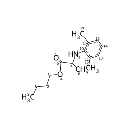 CCCCOC(=O)C(C)Nc1c(C)cccc1C